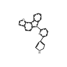 C1=CC(c2cccc(-n3c4ccccc4c4c5occc5ccc43)n2)=CCN1